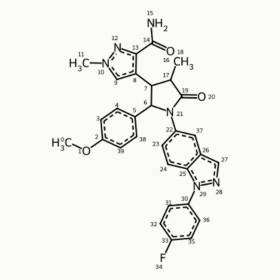 COc1ccc(C2C(c3cn(C)nc3C(N)=O)C(C)C(=O)N2c2ccc3c(cnn3-c3ccc(F)cc3)c2)cc1